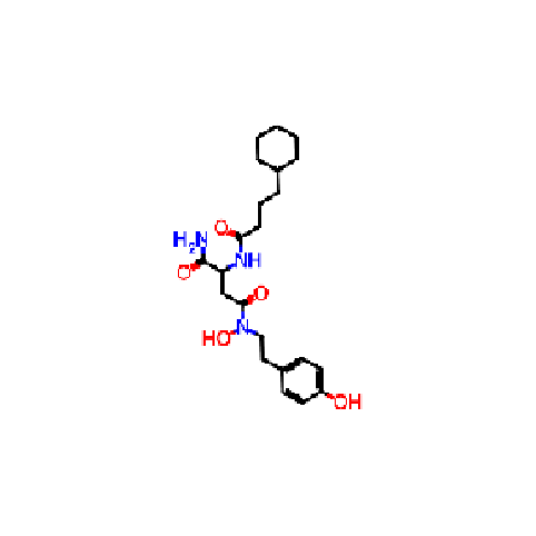 NC(=O)C(CC(=O)N(O)CCc1ccc(O)cc1)NC(=O)CCCC1CCCCC1